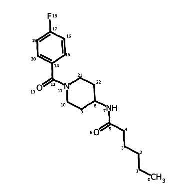 CCCCCC(=O)NC1CCN(C(=O)c2ccc(F)cc2)CC1